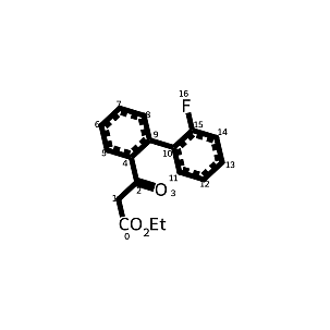 CCOC(=O)CC(=O)c1ccccc1-c1ccccc1F